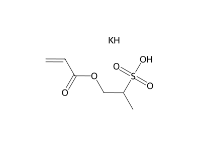 C=CC(=O)OCC(C)S(=O)(=O)O.[KH]